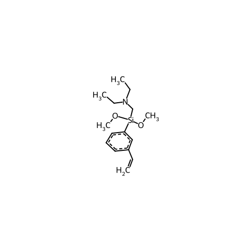 C=Cc1cccc([Si](CN(CC)CC)(OC)OC)c1